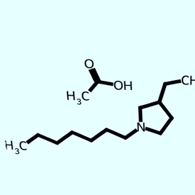 CC(=O)O.CCCCCCCN1CCC(CC)C1